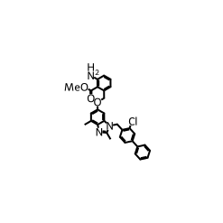 COC(=O)c1c(N)cccc1COc1cc(C)c2nc(C)n(Cc3ccc(-c4ccccc4)cc3Cl)c2c1